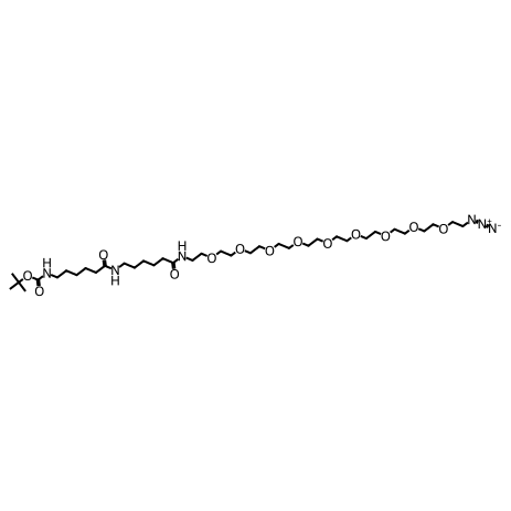 CC(C)(C)OC(=O)NCCCCCC(=O)NCCCCCC(=O)NCCOCCOCCOCCOCCOCCOCCOCCOCCOCCN=[N+]=[N-]